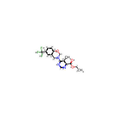 CCOC(=O)c1ncnc(N2COc3ccc(C(F)(F)F)cc3C2)c1C